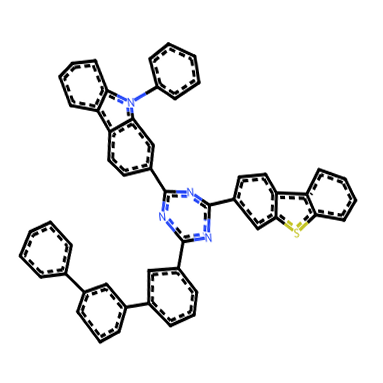 c1ccc(-c2cccc(-c3cccc(-c4nc(-c5ccc6c(c5)sc5ccccc56)nc(-c5ccc6c7ccccc7n(-c7ccccc7)c6c5)n4)c3)c2)cc1